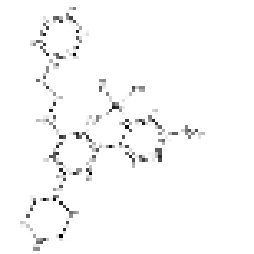 Nc1ncc(-c2nc(NCCc3ccncc3)nc(N3CCOCC3)n2)c(C(F)(F)F)n1